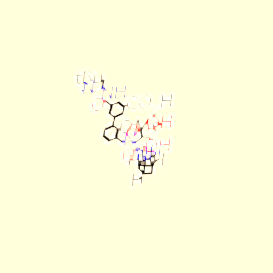 COc1c(CN2O[C@@H](CO)[C@@H]([C@H](C)O)[C@H]2C(=O)N[C@H]2C[C@H]3C[C@@H]([C@@H]2C)C3(C)C)cccc1-c1cc(C(=O)O)cc(C(=O)N[C@H](CN(C)C)CC(C)(C)C)c1